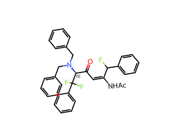 CC(=O)NC(=CC(=O)[C@H](N(Cc1ccccc1)Cc1ccccc1)C(F)(F)c1ccccc1)C(F)c1ccccc1